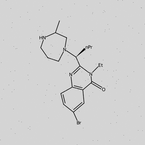 CCC[C@@H](c1nc2ccc(Br)cc2c(=O)n1CC)N1CCCNC(C)C1